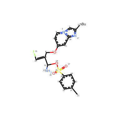 CCCCc1cn2ccc(OC/C(=C\F)C(N)OS(=O)(=O)c3ccc(C)cc3)cc2n1